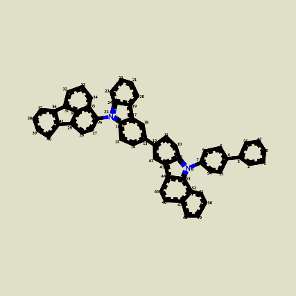 c1ccc(-c2ccc(-n3c4ccc(-c5ccc6c(c5)c5ccccc5n6-c5ccc6c7c(cccc57)-c5ccccc5-6)cc4c4ccc5ccccc5c43)cc2)cc1